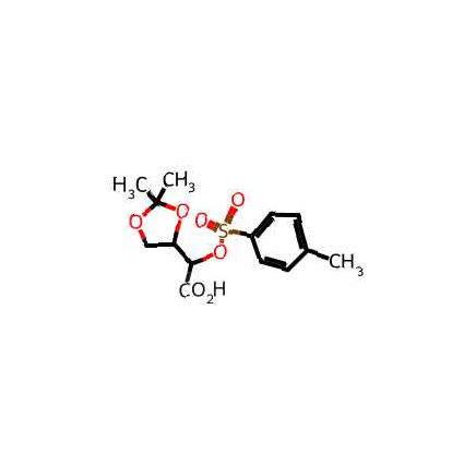 Cc1ccc(S(=O)(=O)OC(C(=O)O)C2COC(C)(C)O2)cc1